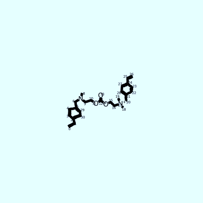 C=Cc1ccc(CN(C)CCOC(=O)OCC[N+](C)(C)Cc2ccc(C=C)cc2)cc1